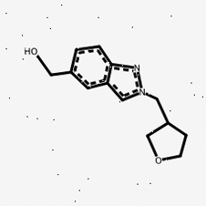 OCc1ccc2nn(CC3CCOC3)cc2c1